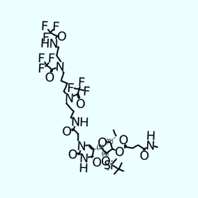 CC[C@H]1O[C@@H](c2cn(CCC(=O)NCCCN(CCCCN(CCCNC(=O)C(F)(F)F)C(=O)C(F)(F)F)C(=O)C(F)(F)F)c(=O)[nH]c2=O)[C@@H](O[Si](C)(C)C(C)(C)C)C1OC(=O)CCC(=O)NC